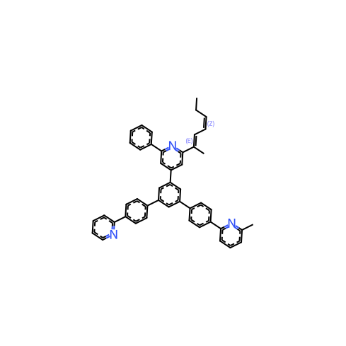 CC/C=C\C=C(/C)c1cc(-c2cc(-c3ccc(-c4ccccn4)cc3)cc(-c3ccc(-c4cccc(C)n4)cc3)c2)cc(-c2ccccc2)n1